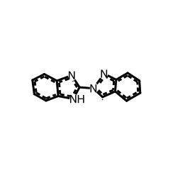 [c]1c2ccccc2nn1-c1nc2ccccc2[nH]1